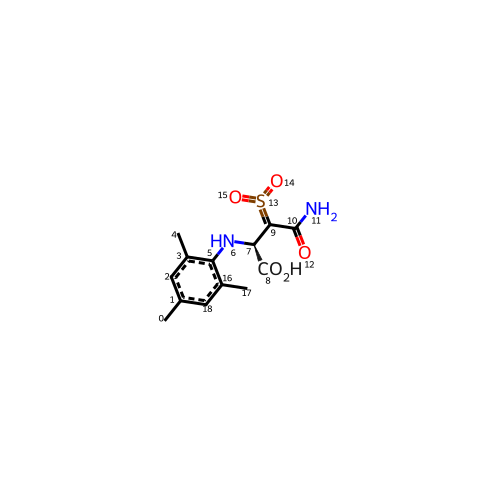 Cc1cc(C)c(N[C@H](C(=O)O)C(C(N)=O)=S(=O)=O)c(C)c1